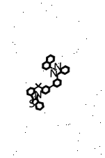 CC1(C)c2cc(-c3cccc(-c4nc(-c5cccc6ccccc56)nc5ccccc45)c3)ccc2-n2c3c1cccc3c1sc3ccccc3c12